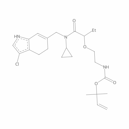 C=CC(C)(C)OC(=O)NCCOC(CC)C(=O)N(CC1=Cc2[nH]cc(Cl)c2CC1)C1CC1